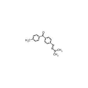 Cc1ccc(C(=O)c2ccc(N=NN(C)C)cc2)cc1